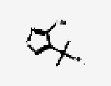 CC(C)(C)c1nscc1C(C)(C)N